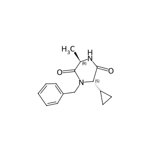 C[C@H]1NC(=O)[C@H](C2CC2)N(Cc2ccccc2)C1=O